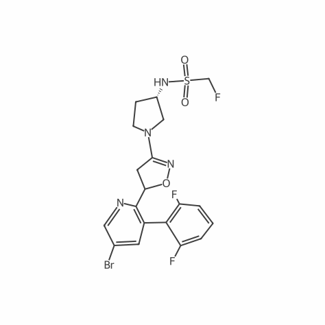 O=S(=O)(CF)N[C@H]1CCN(C2=NOC(c3ncc(Br)cc3-c3c(F)cccc3F)C2)C1